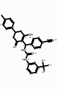 Cc1ccc(C2CC(=O)C(C(NC(=O)Nc3cccc(C(F)(F)F)c3)c3ccc(C#N)cc3)=C(O)C2)cc1